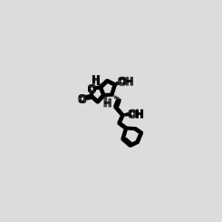 O=C1C[C@@H]2[C@@H](C=C[C@@H](O)CC3C=CCCC3)[C@H](O)C[C@@H]2O1